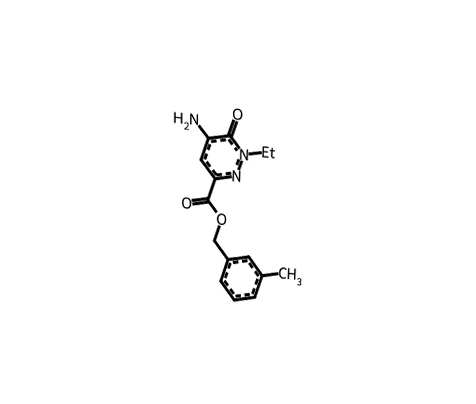 CCn1nc(C(=O)OCc2cccc(C)c2)cc(N)c1=O